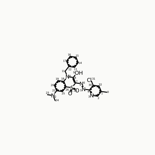 Cc1cnc(N=NC2=C(O)N(Cc3ccccc3)c3ccc(N(C)C)cc3S2(=O)=O)c(Cl)c1